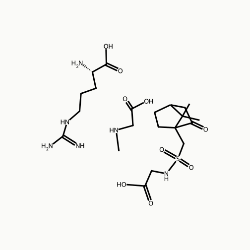 CC1(C)C2CCC1(CS(=O)(=O)NCC(=O)O)C(=O)C2.CNCC(=O)O.N=C(N)NCCC[C@H](N)C(=O)O